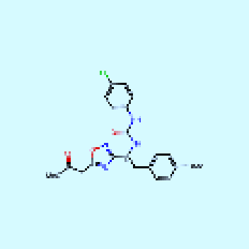 COC(=O)Cc1nc([C@H](Cc2ccc(OC)cc2)NC(=O)Nc2ccc(Cl)cc2)no1